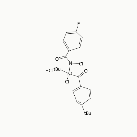 CC(C)(C)c1ccc(C(=O)[N+](Cl)(N(Cl)C(=O)c2ccc(F)cc2)C(C)(C)C)cc1.Cl